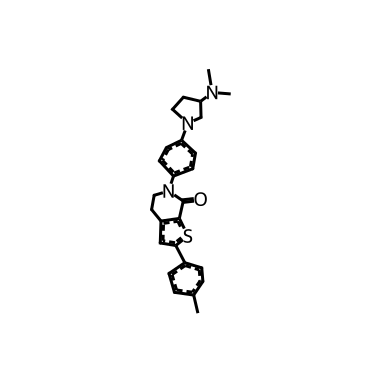 Cc1ccc(-c2cc3c(s2)C(=O)N(c2ccc(N4CCC(N(C)C)C4)cc2)CC3)cc1